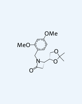 COc1ccc(CN2C(=O)C[C@H]2[C@@H]2COC(C)(C)O2)c(OC)c1